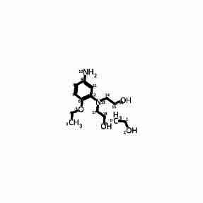 CCO.CCOc1ccc(N)cc1N(CCO)CCO